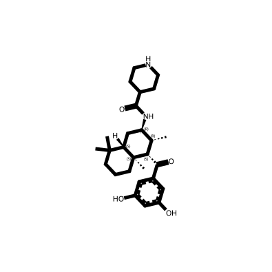 C[C@H]1[C@H](NC(=O)C2CCNCC2)C[C@H]2C(C)(C)CCC[C@]2(C)[C@H]1C(=O)c1cc(O)cc(O)c1